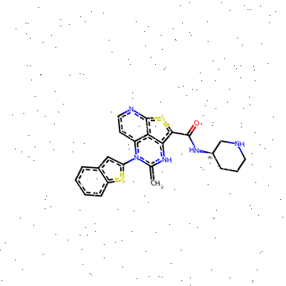 C=c1[nH]c2c(C(=O)N[C@@H]3CCCNC3)sc3nccc(c32)n1-c1cc2ccccc2s1